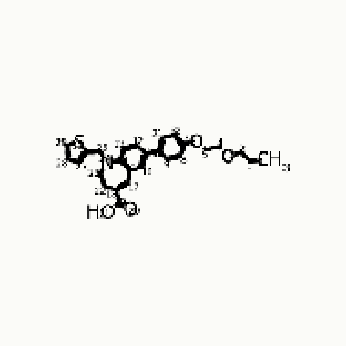 CCCOCCOc1ccc(-c2ccc3c(c2)C=C(C(=O)O)CCN3Cc2cccs2)cc1